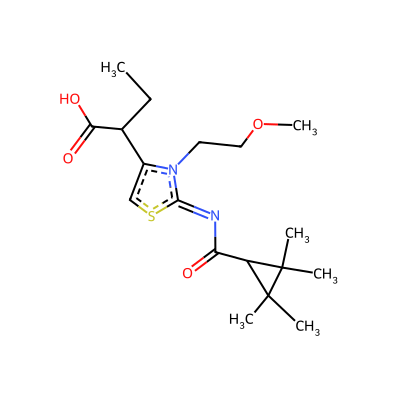 CCC(C(=O)O)c1csc(=NC(=O)C2C(C)(C)C2(C)C)n1CCOC